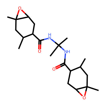 CC1CC2(C)OC2CC1C(=O)NC(C)(C)NC(=O)C1CC2OC2(C)CC1C